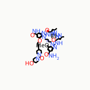 CCn1nc(C)cc1C(=O)Nc1nc2cc(C(N)=O)cc(OC)c2n1C/C=C/Cn1c(NC(=O)c2cc(C)nn2CC)nc2cc(C(N)=O)cc(OCC#CC3CCN(C(=O)N4CCC(O)CC4)CC3)c21